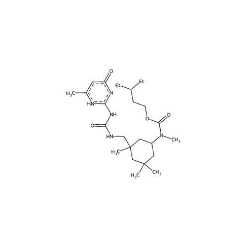 CCC(CC)CCOC(=O)N(C)C1CC(C)(C)CC(C)(CNC(=O)Nc2nc(=O)cc(C)[nH]2)C1